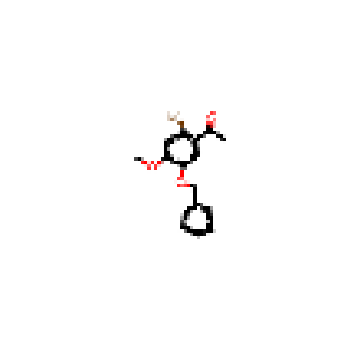 COc1cc(Br)c(C(C)=O)cc1OCc1ccccc1